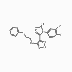 O=c1onc(-c2nonc2NCCSc2ccccc2)n1-c1ccc(F)c(Br)c1